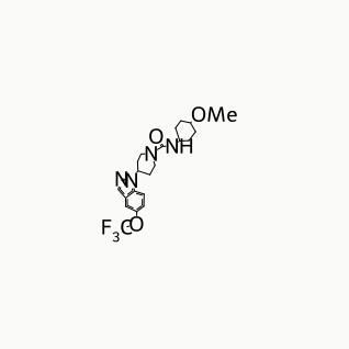 COC1CCC(NC(=O)N2CCC(n3ncc4cc(OC(F)(F)F)ccc43)CC2)CC1